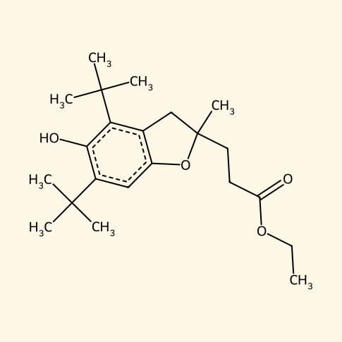 CCOC(=O)CCC1(C)Cc2c(cc(C(C)(C)C)c(O)c2C(C)(C)C)O1